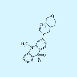 C=CC(CC1CCOCC1)c1ccc2c(c1)N(C)c1ccccc1S2(=O)=O